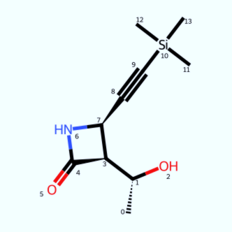 C[C@@H](O)[C@H]1C(=O)N[C@H]1C#C[Si](C)(C)C